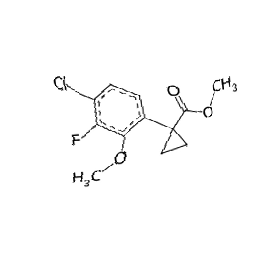 COC(=O)C1(c2ccc(Cl)c(F)c2OC)CC1